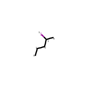 CC[CH]C(C)I